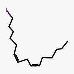 CCCCC/C=C\C/C=C\CCCCCI